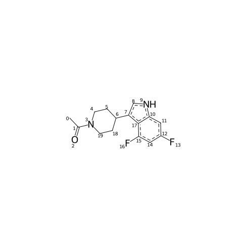 CC(=O)N1CCC(c2c[nH]c3cc(F)cc(F)c23)CC1